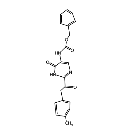 Cc1ccc(CC(=O)c2ncc(NC(=O)OCc3ccccc3)c(=O)[nH]2)cc1